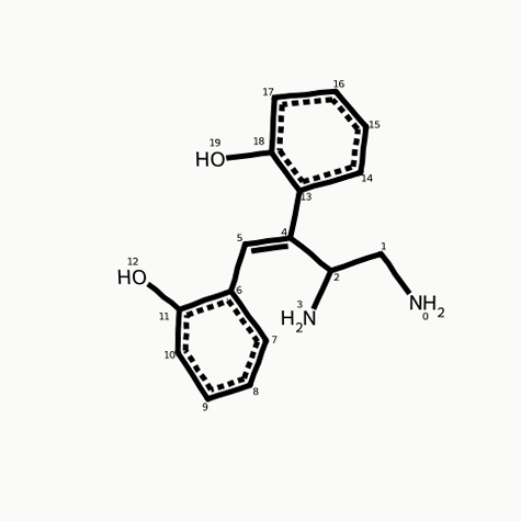 NCC(N)C(=Cc1ccccc1O)c1ccccc1O